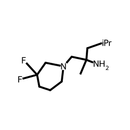 CC(C)CC(C)(N)CN1CCCC(F)(F)C1